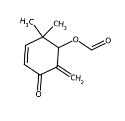 C=C1C(=O)C=CC(C)(C)C1OC=O